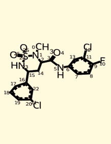 CN1C(C(=O)Nc2ccc(F)c(Cl)c2)CC(c2cccc(Cl)c2)NS1(=O)=O